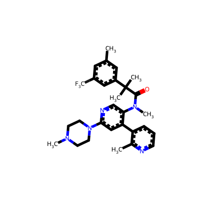 Cc1cc(C(F)(F)F)cc(C(C)(C)C(=O)N(C)c2cnc(N3CCN(C)CC3)cc2-c2cccnc2C)c1